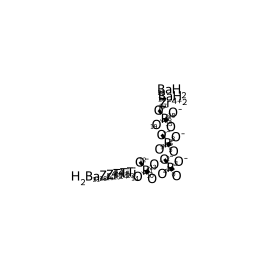 O=P([O-])([O-])[O-].O=P([O-])([O-])[O-].O=P([O-])([O-])[O-].O=P([O-])([O-])[O-].[BaH2].[BaH2].[BaH2].[Ti].[Ti].[Ti].[Zr+4].[Zr+4].[Zr+4]